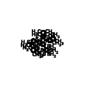 Bc1c(B)c(B)c(-c2cc3c4c(c2)N(c2ccc5c(c2)C(C)(C)CCC5(C)C)c2c(sc5ccc(C(C)(C)C)cc25)B4c2cc4c(cc2N3c2ccc3c(c2)C(C)(C)CCC3(C)C)C(C)(C)CCC4(C)C)c(B)c1B